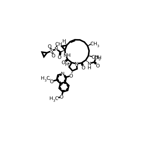 COc1ccc2c(O[C@@H]3C[C@H]4C(=O)N[C@]5(C(=O)N(C)S(=O)(=O)C6CC6)C[C@H]5C=CCC[C@@H](C)C[C@@H](C)[C@H](NC(=O)O)C(=O)N4C3)ncc(OC)c2c1